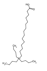 CCCC[N+](CCCC)(CCCC)CCCCCCCCCCCCCCC(=O)O